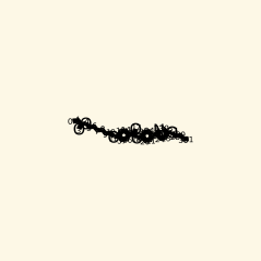 C=CC(=O)OCCCCCCOc1ccc(C(=O)Oc2ccc(-c3ccc(OCCCC)cn3)cc2)cc1